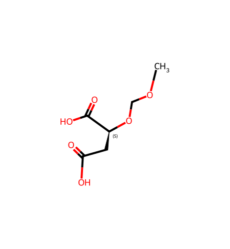 COCO[C@@H](CC(=O)O)C(=O)O